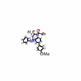 COc1ccc(-c2ccc3c(c2)[C@@H](Nc2ccccc2)C[C@@H](C)N3C(=O)C(C)C)cc1